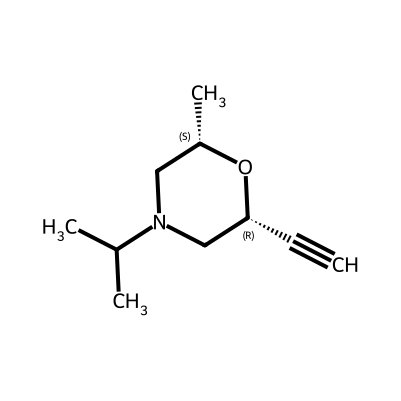 C#C[C@@H]1CN(C(C)C)C[C@H](C)O1